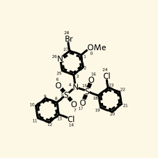 COc1cc(N(S(=O)(=O)c2ccccc2Cl)S(=O)(=O)c2ccccc2Cl)cnc1Br